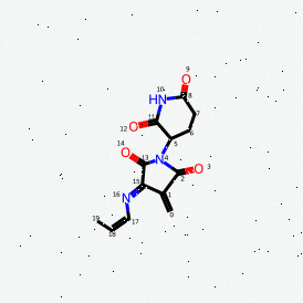 C=C1C(=O)N(C2CCC(=O)NC2=O)C(=O)/C1=N/C=C\C